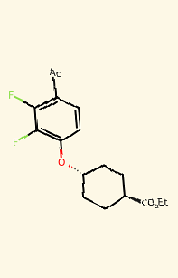 CCOC(=O)[C@H]1CC[C@H](Oc2ccc(C(C)=O)c(F)c2F)CC1